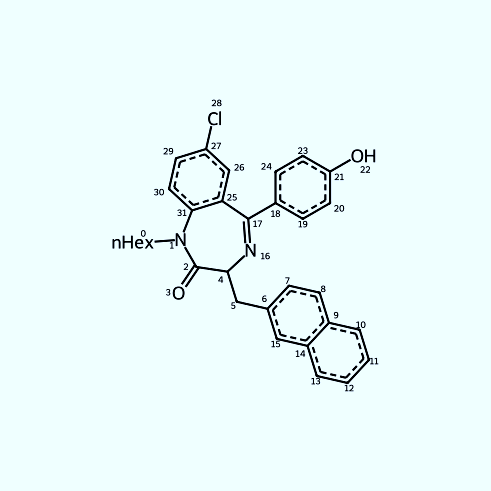 CCCCCCN1C(=O)C(Cc2ccc3ccccc3c2)N=C(c2ccc(O)cc2)c2cc(Cl)ccc21